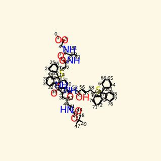 COC(=O)CNC(=O)C(NC(=O)CCSC(c1ccccc1)(c1ccccc1)c1ccccc1NC(=O)C(CCCCNC(=O)OC(C)(C)C)NC(=O)CC(O)C=CCCSC(c1ccccc1)(c1ccccc1)c1ccccc1)C(C)C